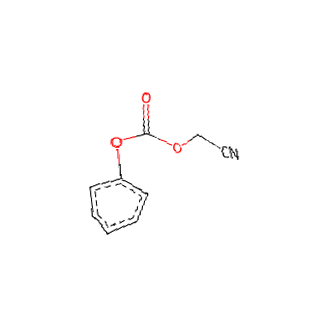 N#CCOC(=O)Oc1ccccc1